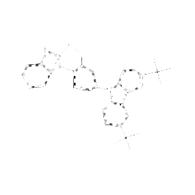 CC(C)(C)c1ccc2c(c1)c1cc(C(C)(C)C)ccc1n2-c1ccc2c(c1)SCc1nc3ccccc3n1-2